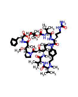 CC[C@H](C)[C@@H]([C@@H](CC(=O)N1CCC[C@H]1[C@H](OC)[C@@H](C)C(=O)N[C@@H](Cc1ccccc1)C(=O)OC)OC)N(C)C(=O)[C@@H](NC(=O)[C@H](C(C)C)N(C)CCc1ccc(NC(=O)[C@H](CCCNC(N)=O)NC(=O)[C@@H](NC(=O)OC(C)(C)C)C(C)C)cc1)C(C)C